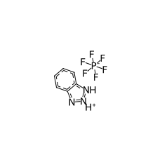 F[P-](F)(F)(F)(F)F.[H+].c1ccc2[nH]nnc2c1